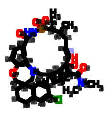 C[C@H](C(=O)N(C)C)[C@@]1(O)/C=C/C[C@H](C)[C@@H](C)S(=O)(=O)NC(=O)c2ccc3c(c2)N(C[C@@H]2CC[C@H]21)C[C@@]1(CCCc2cc(Cl)ccc21)CO3